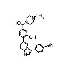 CN1CCN(C(O)c2ccc(-c3ccc4ncc(-c5ccc(C#N)cc5)n4c3)c(O)c2)CC1